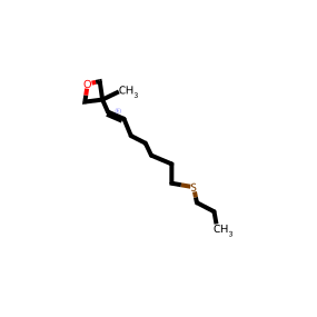 CCCSCCCCC/C=C/C1(C)COC1